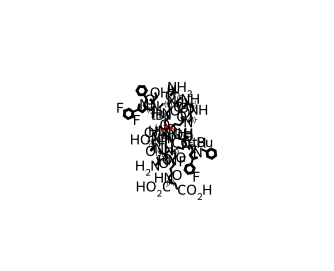 C[C@H](NC(=O)CC[C@H](N)C(=O)N[C@@H](C)C(=O)N[C@@H](C)C(=O)N[C@@H](CC(N)=O)C(=O)N[C@@H](CCN(C(=O)CO)[C@@H](c1cc(-c2cc(F)ccc2F)cn1Cc1ccccc1)C(C)(C)C)C(=O)NCCC(=O)N[C@H](CCC(=O)O)C(=O)O)C(=O)N[C@@H](C)C(=O)N[C@@H](CC(N)=O)C(=O)N[C@@H](CCN(C(=O)CO)[C@@H](c1cc(-c2cc(F)ccc2F)cn1Cc1ccccc1)C(C)(C)C)C(=O)NCCC(=O)N[C@H](CCC(=O)O)C(=O)O